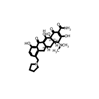 CN(C)[C@H]1C(O)=C(C(N)=O)C(=O)[C@]2(O)C(O)=C3C(=O)c4c(O)ccc(CN5CCCC5)c4C[C@H]3C[C@@H]12